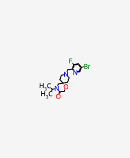 CC(C)N1CC2(CCN(Cc3ncc(Br)cc3F)CC2)OCC1=O